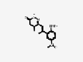 COc1ccc([S+](C)[O-])cc1C(C)=CC1=NNC(=O)CC1C